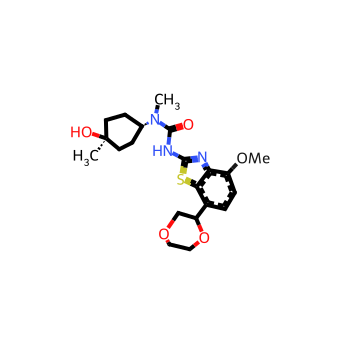 COc1ccc(C2COCCO2)c2sc(NC(=O)N(C)[C@H]3CC[C@](C)(O)CC3)nc12